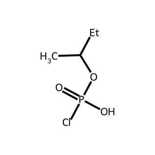 CCC(C)OP(=O)(O)Cl